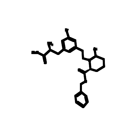 COC(=O)[C@@H](N)Cc1cc(Br)cc(CCN2[C@@H](C(=O)OCc3ccccc3)CCCN2C(C)=O)c1